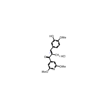 COc1cc(C(=O)/C(C)=C/c2ccc(OC)c(O)c2)cc(OC)n1.Cl